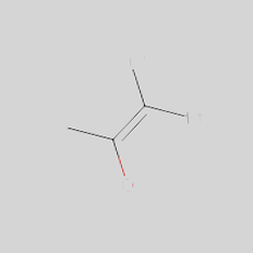 CCC(=C(C)[O])C(C)C